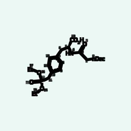 CCCCCCCCCCCC(=O)N[C@@H](Cc1ccc(CP(=O)(OCC)OCC)cc1)C(=O)O